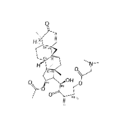 C=C(C(=O)[C@H](O)C1[C@@H](OC(C)=O)C[C@@]2(C)[C@@H]3CC[C@H]4[C@H](C)C(=O)C=C[C@@]45C[C@@]35CC[C@]12C)[C@@H](C)COC(=O)CN(C)C